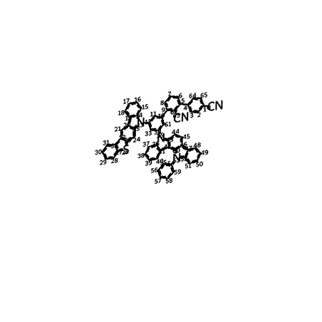 N#Cc1ccc(-c2cccc(-c3cc(-n4c5ccccc5c5cc6c(cc54)sc4ccccc46)cc(-n4c5ccccc5c5c4ccc4c6ccccc6n(-c6ccccc6)c45)c3)c2C#N)cc1